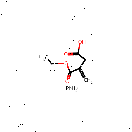 C=C(CC(=O)O)C(=O)OCC.[PbH2]